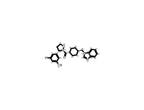 N#Cc1cc(F)cc([C@@H]2CCON2C(=O)[C@H]2CC[C@H](Cn3cnc4ccccc43)CC2)c1